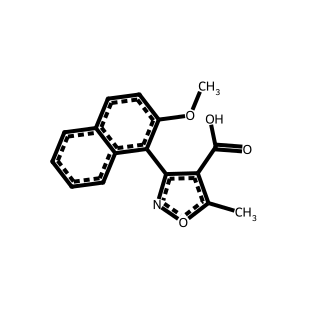 COc1ccc2ccccc2c1-c1noc(C)c1C(=O)O